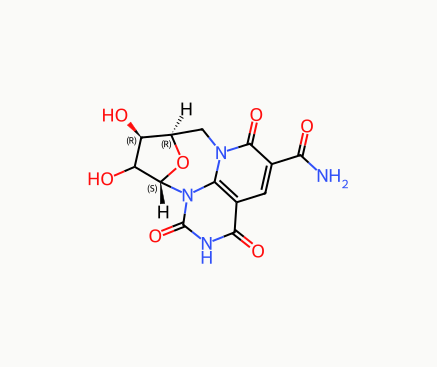 NC(=O)c1cc2c(=O)[nH]c(=O)n3c2n(c1=O)C[C@H]1O[C@H]3C(O)[C@H]1O